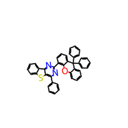 c1ccc(-c2nc(-c3cccc4c3Oc3ccccc3C4(c3ccccc3)c3ccccc3)nc3c2sc2ccccc23)cc1